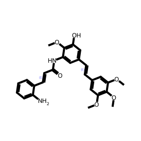 COc1cc(/C=C/c2cc(O)c(OC)c(NC(=O)/C=C/c3ccccc3N)c2)cc(OC)c1OC